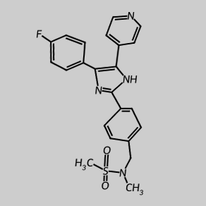 CN(Cc1ccc(-c2nc(-c3ccc(F)cc3)c(-c3ccncc3)[nH]2)cc1)S(C)(=O)=O